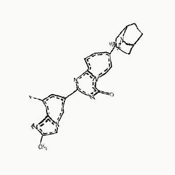 Cc1cn2cc(-c3nc(=O)n4cc(N5CC6CCC(C5)N6C(=O)O)ccc4n3)cc(F)c2n1